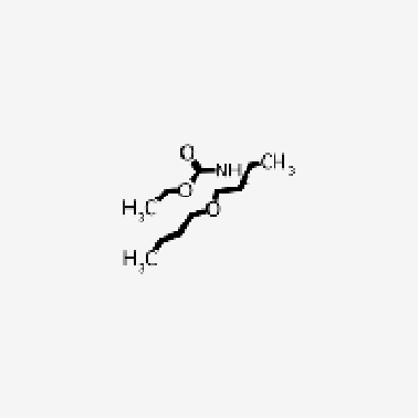 CCCCOCCCC.CCOC(N)=O